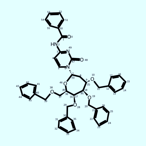 O=C(Nc1ccn([C@@H]2C[C@H](OCc3ccccc3)[C@@H](OCc3ccccc3)[C@@H](OCc3ccccc3)[C@@H](COCc3ccccc3)O2)c(=O)n1)c1ccccc1